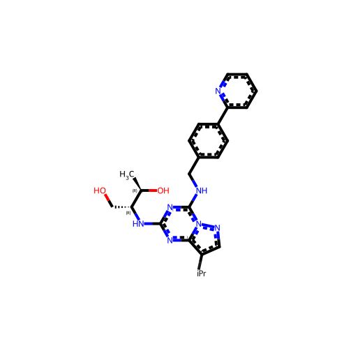 CC(C)c1cnn2c(NCc3ccc(-c4ccccn4)cc3)nc(N[C@H](CO)[C@@H](C)O)nc12